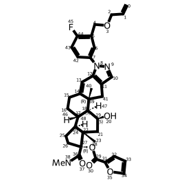 C=CCOCc1cc(-n2ncc3c2C=C2CC[C@@H]4[C@H]([C@@H](O)C[C@@]5(C)[C@H]4CC[C@]5(OC(=O)c4ccco4)C(=O)NC)[C@@]2(C)C3)ccc1F